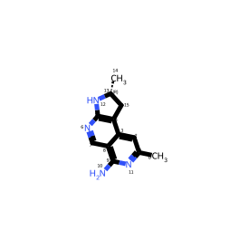 Cc1cc2c3c(ncc2c(N)n1)N[C@H](C)C3